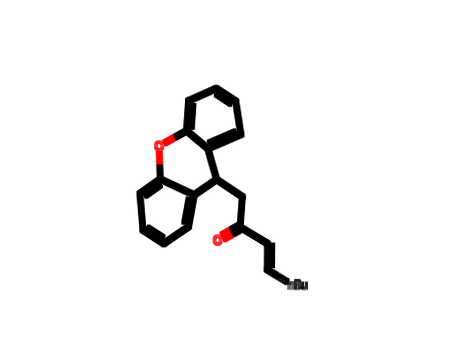 CCCCC=CC(=O)CC1c2ccccc2Oc2ccccc21